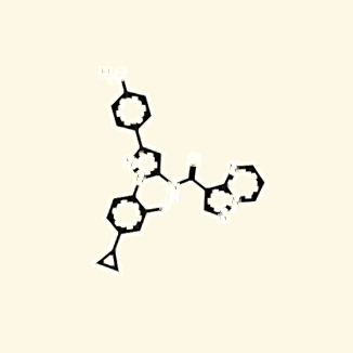 Cc1ccc(-c2cc(NC(=O)c3cnn4cccnc34)n(-c3ccc(C4CC4)cc3F)n2)cc1